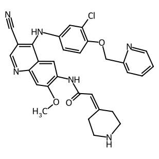 COc1cc2ncc(C#N)c(Nc3ccc(OCc4ccccn4)c(Cl)c3)c2cc1NC(=O)C=C1CCNCC1